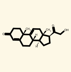 C[C@]12CCC(=O)C=C1CC[C@@H]1C2=CC[C@]2(C)[C@@H](C(=O)CO)CC[C@@H]12